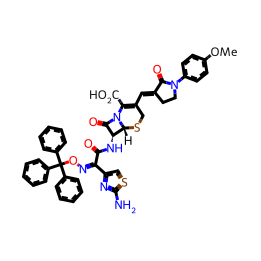 COc1ccc(N2CC/C(=C\C3=C(C(=O)O)N4C(=O)[C@@H](NC(=O)/C(=N\OC(c5ccccc5)(c5ccccc5)c5ccccc5)c5csc(N)n5)[C@H]4SC3)C2=O)cc1